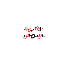 CC(C)(C)OOC(C)(C)CCC(C)(C)OOC(C)(C)C.CC(C)(C)OOC(C)(C)c1ccc(C(C)(C)OOC(C)(C)C)cc1